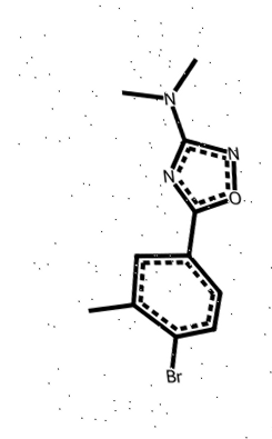 Cc1cc(-c2nc(N(C)C)no2)ccc1Br